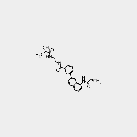 C=CC(=O)Nc1cccc2ccc(-c3cccc(C(=O)NCCNC(=O)C(C)C)n3)cc12